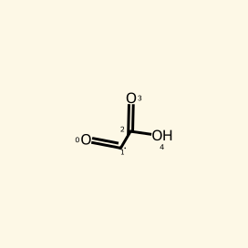 O=[C]C(=O)O